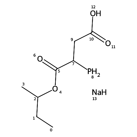 CCC(C)OC(=O)C(P)CC(=O)O.[NaH]